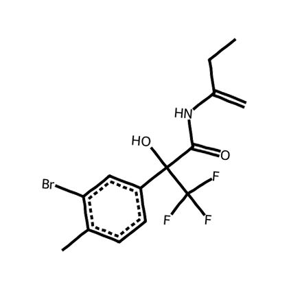 C=C(CC)NC(=O)C(O)(c1ccc(C)c(Br)c1)C(F)(F)F